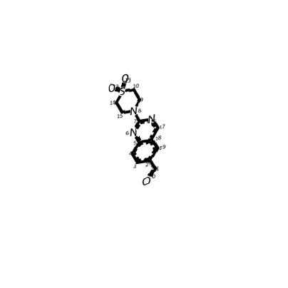 O=Cc1ccc2nc(N3CCS(=O)(=O)CC3)ncc2c1